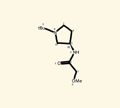 COCC(=O)N[C@@H]1CCN(C(C)(C)C)C1